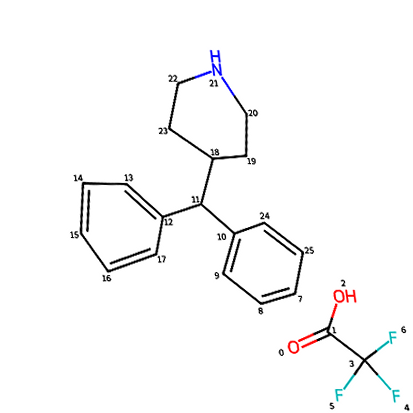 O=C(O)C(F)(F)F.c1ccc(C(c2ccccc2)C2CCNCC2)cc1